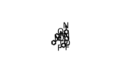 N#Cc1ccc(N2CCC(Oc3ccc(F)cc3F)CC2)c(NC(=O)c2cccn(Cc3ccccc3)c2=O)c1